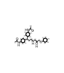 CC(=O)Nc1ccc(C(CCNC[C@H](O)COc2ccccc2)c2ccc(NC(C)=O)cc2)cc1